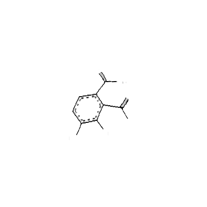 Cc1ccc(C(=O)OCC(C)C)c(C(=O)OCC(C)C)c1C